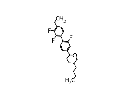 C=Cc1ccc(-c2ccc(C3CCC(CCCC)CO3)cc2F)c(F)c1F